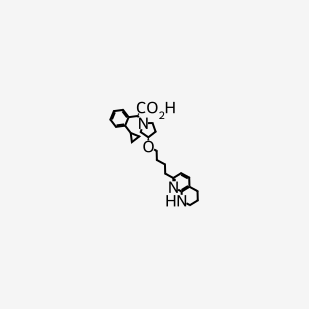 O=C(O)[C@@H](c1ccccc1C1CC1)N1CC[C@@H](OCCCCc2ccc3c(n2)NCCC3)C1